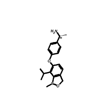 CB1OCc2ccc(Oc3ccc([C@@H](C)N)cc3)c(C(C)C)c21